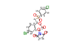 O=C(OC(CS(=O)(=O)c1ccc(Cl)cc1)c1ccc(Br)cc1)ON1C(=O)CCC1=O